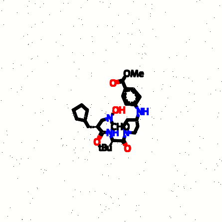 COC(=O)c1ccc(NC2CCN(C(=O)[C@@H](NC(=O)[C@H](CC3CCCC3)CN(O)C=O)C(C)(C)C)CC2)cc1